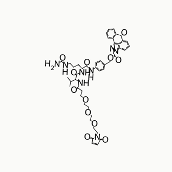 CC(C)[C@H](NC(=O)CCOCCOCCOCCN1C(=O)C=CC1=O)C(=O)N[C@@H](CCCNC(N)=O)C(=O)Nc1ccc(COC(=O)n2nc3c4c(cccc42)C(=O)c2ccccc2-3)cc1